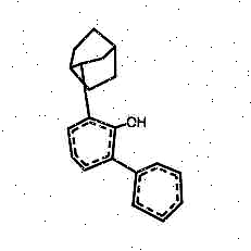 Oc1c(-c2ccccc2)cccc1C1CC2CCC1CC2